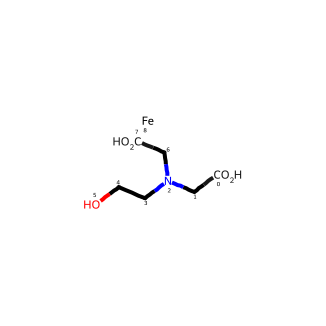 O=C(O)CN(CCO)CC(=O)O.[Fe]